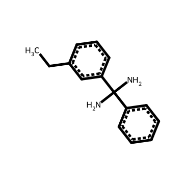 CCc1cccc(C(N)(N)c2ccccc2)c1